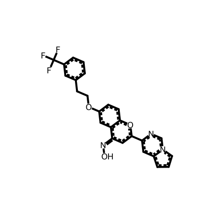 ON=c1cc(-c2cc3cccn3cn2)oc2ccc(OCCc3cccc(C(F)(F)F)c3)cc12